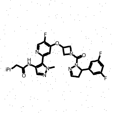 CC(C)CC(=O)Nc1cnn(C)c1-c1cc(OC2CN(C(=O)N3N=CCC3c3cc(F)cc(F)c3)C2)c(F)cn1